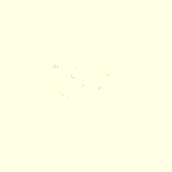 C[C@@H]1CNCCN1C(=O)C(C)(C)N